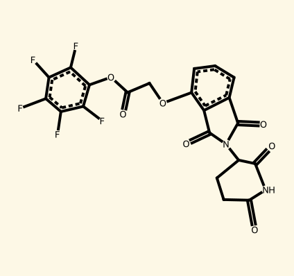 O=C1CCC(N2C(=O)c3cccc(OCC(=O)Oc4c(F)c(F)c(F)c(F)c4F)c3C2=O)C(=O)N1